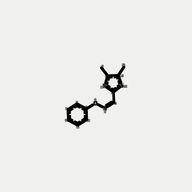 Cc1nc(/[C]=N\Oc2ccccc2)sc1C